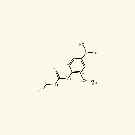 CCNC(=O)Nc1ccc(B(O)O)cc1OC